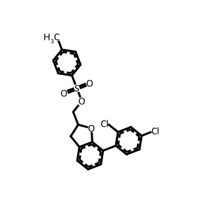 Cc1ccc(S(=O)(=O)OCC2Cc3cccc(-c4ccc(Cl)cc4Cl)c3O2)cc1